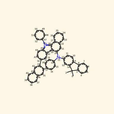 CC1(C)c2ccccc2-c2ccc(N(c3ccccc3)c3cc4ccccc4c4c3c3cc(-c5ccc6ccccc6c5)ccc3n4-c3ccccc3)cc21